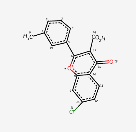 Cc1cccc(-c2oc3cc(Cl)ccc3c(=O)c2C(=O)O)c1